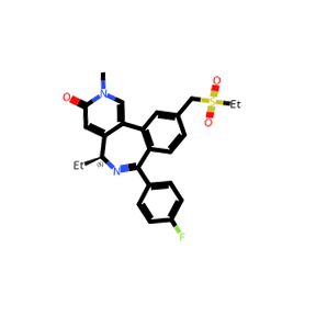 CC[C@@H]1N=C(c2ccc(F)cc2)c2ccc(CS(=O)(=O)CC)cc2-c2cn(C)c(=O)cc21